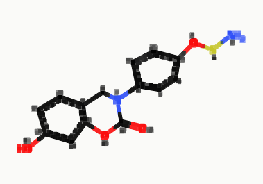 NSOc1ccc(N2Cc3ccc(O)cc3OC2=O)cc1